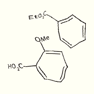 CCOC(=O)c1ccccc1.COc1ccccc1C(=O)O